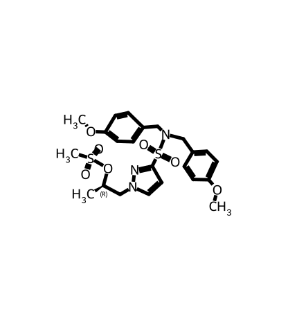 COc1ccc(CN(Cc2ccc(OC)cc2)S(=O)(=O)c2ccn(C[C@@H](C)OS(C)(=O)=O)n2)cc1